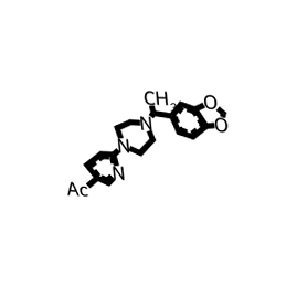 CC(=O)c1ccc(N2CCN(C(C)c3ccc4c(c3)OCO4)CC2)nc1